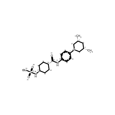 C[C@@H]1C[C@H](C)CN(c2ccc(NC(=O)[C@H]3CC[C@H](NS(=O)(=O)C(C)(C)C)CC3)cc2)C1